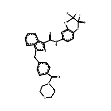 O=C(Nc1ccc2c(c1)OC(F)(F)C(F)(F)O2)c1nn(Cc2ccc(C(=O)N3CCOCC3)cc2)c2ccccc12